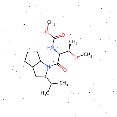 COC(=O)N[C@H](C(=O)N1C(C(C)C)CC2CCCC21)[C@@H](C)OC